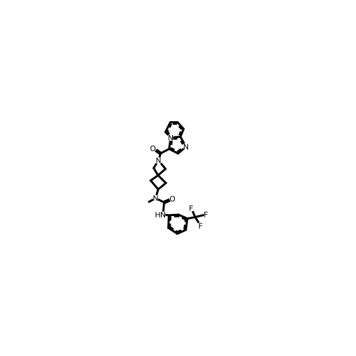 CN(C(=O)Nc1cccc(C(F)(F)F)c1)C1CC2(C1)CN(C(=O)c1cnc3ccccn13)C2